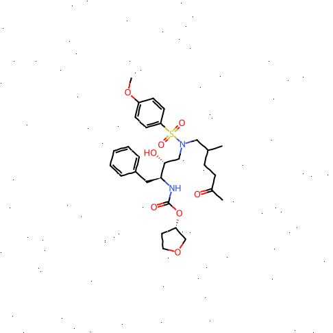 COc1ccc(S(=O)(=O)N(CC(C)CCC(C)=O)C[C@@H](O)[C@H](Cc2ccccc2)NC(=O)O[C@H]2CCOC2)cc1